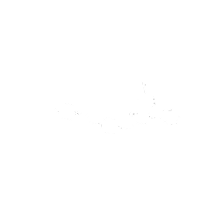 OC(CN1CCN(CCN2CCOCC2)CC1)Cn1c2ccccc2c2cc(Br)ccc21